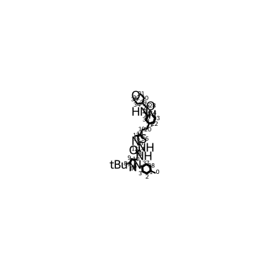 Cc1ccc(-n2nc(C(C)(C)C)cc2NC(=O)Nc2ncc(CCc3ccnc(NC(=O)C4CCOCC4)c3)s2)cc1